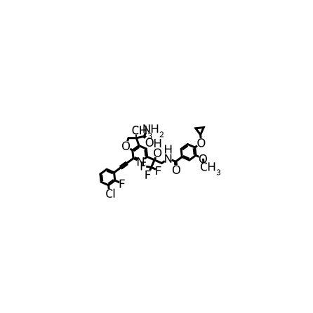 COc1cc(C(=O)NCC(O)(c2cc3c(c(C#Cc4cccc(Cl)c4F)n2)OC[C@]3(C)C(N)=O)C(F)(F)F)ccc1OC1CC1